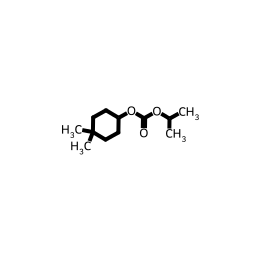 CC(C)OC(=O)OC1CCC(C)(C)CC1